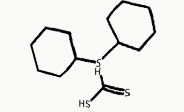 S=C(S)[SH](C1CCCCC1)C1CCCCC1